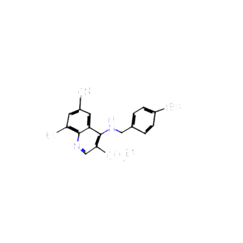 CCOC(=O)c1cnc2c(CC)cc(C#N)cc2c1NCc1ccc(C(C)(C)C)cc1